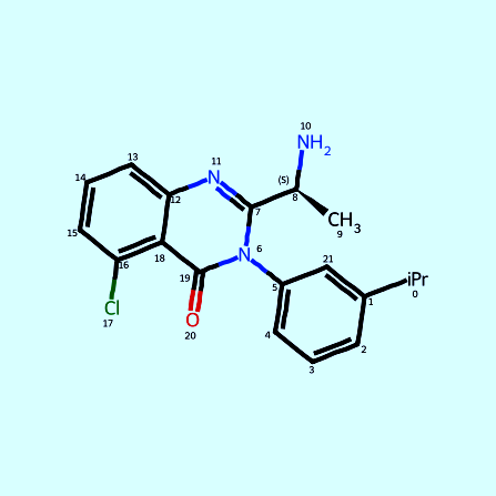 CC(C)c1cccc(-n2c([C@H](C)N)nc3cccc(Cl)c3c2=O)c1